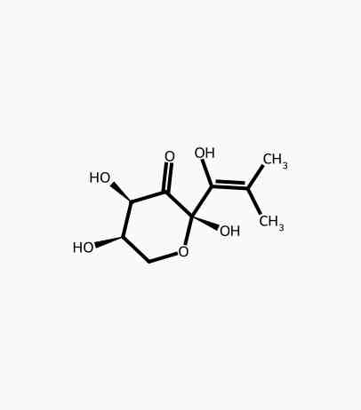 CC(C)=C(O)[C@]1(O)OC[C@@H](O)[C@@H](O)C1=O